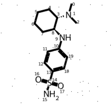 CN(C)[C@H]1CCCC[C@@H]1Nc1ccc(S(N)(=O)=O)cc1